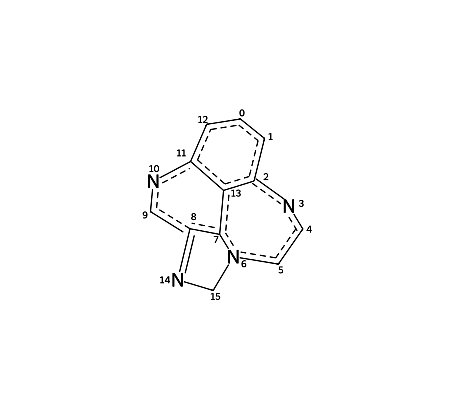 c1cc2nccn3c4c(cnc(c1)c24)=NC3